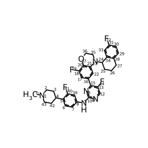 CN1CCC(c2ccc(Nc3ncc(F)c(-c4cc(F)c5c(c4)N(C4CCCc6ccc(F)cc64)CCO5)n3)cc2F)CC1